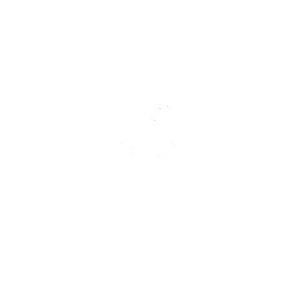 Fc1ccc2c(c1)-c1ccnn1Cc1c(-c3nc(C4CC4)no3)ncn1-2